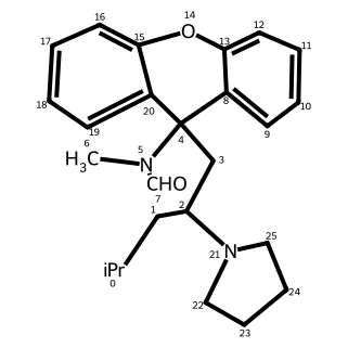 CC(C)CC(CC1(N(C)C=O)c2ccccc2Oc2ccccc21)N1CCCC1